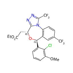 CCOC(=O)C[C@H]1O[C@H](c2cccc(OC)c2Cl)c2cc(C(F)(F)F)ccc2-n2c1nnc2C(F)(F)F